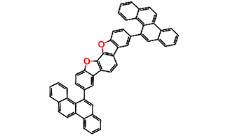 c1ccc2c(c1)cc(-c1ccc3oc4c(ccc5c6cc(-c7cc8ccccc8c8ccc9ccccc9c78)ccc6oc54)c3c1)c1c3ccccc3ccc21